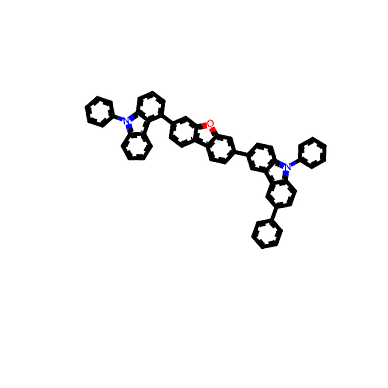 c1ccc(-c2ccc3c(c2)c2cc(-c4ccc5c(c4)oc4cc(-c6cccc7c6c6ccccc6n7-c6ccccc6)ccc45)ccc2n3-c2ccccc2)cc1